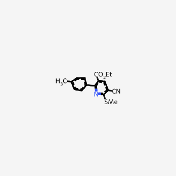 CCOC(=O)c1cc(C#N)c(SC)nc1-c1ccc(C)cc1